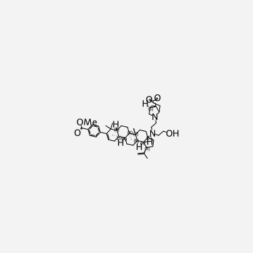 C=C(C)[C@@H]1CC[C@]2(N(CCO)CCN3C[C@@H]4CC3CS4(=O)=O)CC[C@]3(C)[C@H](CC[C@@H]4[C@@]5(C)CC=C(c6ccc(C(=O)OC)cc6)C(C)(C)[C@@H]5CC[C@]43C)[C@@H]12